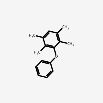 Cc1cc(C)c(C)c(Oc2ccccc2)c1C